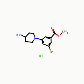 COC(=O)c1cc(Br)cc(N2CCC(N)CC2)c1.Cl